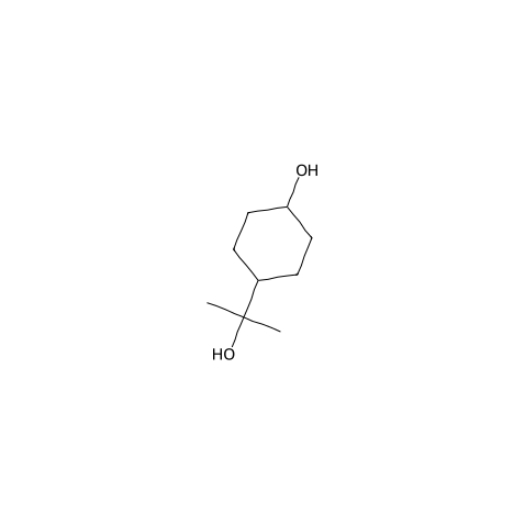 CC(C)(O)C1CCC(O)CC1